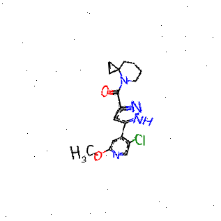 COc1cc(-c2cc(C(=O)N3CCCCC34CC4)n[nH]2)c(Cl)cn1